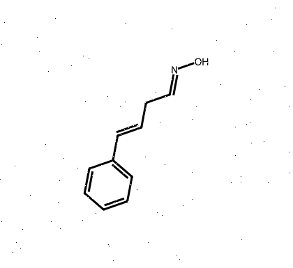 ON=CCC=Cc1ccccc1